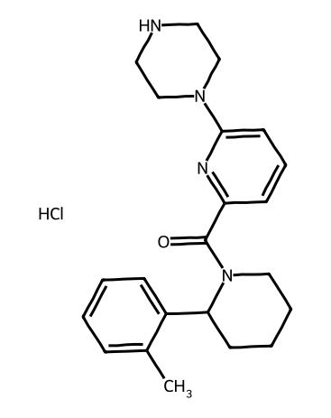 Cc1ccccc1C1CCCCN1C(=O)c1cccc(N2CCNCC2)n1.Cl